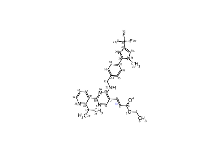 CCOC(=O)/C=C/c1cnc(-c2cccnc2C(C)C)nc1NCc1ccc(-c2nc(C(F)(F)F)cn2C)cc1